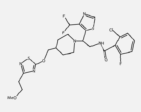 COCCc1nsc(OCC2CCN(C(CNC(=O)c3c(F)cccc3Cl)c3scnc3C(F)F)CC2)n1